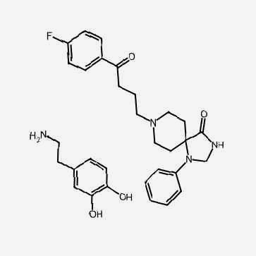 NCCc1ccc(O)c(O)c1.O=C(CCCN1CCC2(CC1)C(=O)NCN2c1ccccc1)c1ccc(F)cc1